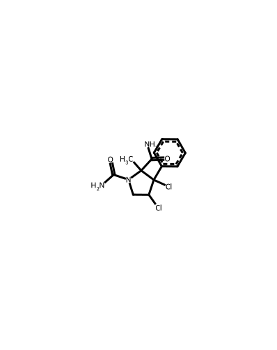 CC1(C(N)=O)N(C(N)=O)CC(Cl)C1(Cl)c1ccccc1